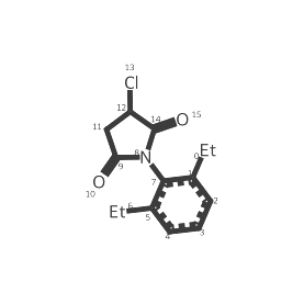 CCc1cccc(CC)c1N1C(=O)CC(Cl)C1=O